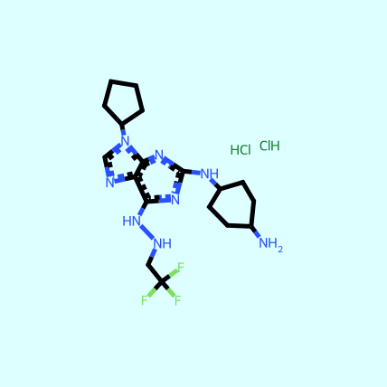 Cl.Cl.NC1CCC(Nc2nc(NNCC(F)(F)F)c3ncn(C4CCCC4)c3n2)CC1